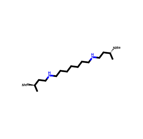 CN[C@H](C)CCNCCCCCCCNCC[C@@H](C)NC